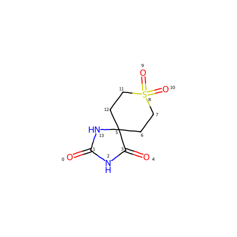 O=C1NC(=O)C2(CCS(=O)(=O)CC2)N1